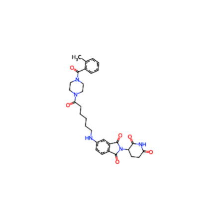 Cc1ccccc1C(=O)N1CCN(C(=O)CCCCCNc2ccc3c(c2)C(=O)N(C2CCC(=O)NC2=O)C3=O)CC1